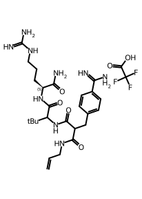 C=CCNC(=O)C(Cc1ccc(C(=N)N)cc1)C(=O)NC(C(=O)N[C@@H](CCCNC(=N)N)C(N)=O)C(C)(C)C.O=C(O)C(F)(F)F